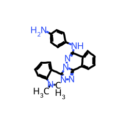 CN(C)c1ccccc1-c1nnc2c3ccccc3c(Nc3ccc(N)cc3)nn12